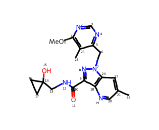 COc1ncnc(Cn2nc(C(=O)NCC3(O)CC3)c3ncc(C)cc32)c1C